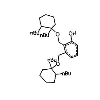 CCCCC1CCCCC1(CCCC)OCc1cccc(O)c1COC1(CCCC)CCCCC1CCCC